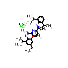 C=Cc1cc(C(C)C)c(N=C(C)c2cccc(C(C)=Nc3c(C(C)C)cccc3C(C)C)n2)c(C(C)C)c1.[Cl-].[Cl-].[Co+2]